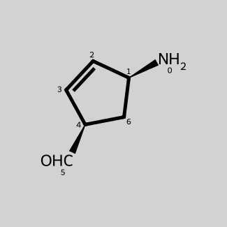 N[C@@H]1C=C[C@H](C=O)C1